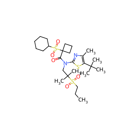 CCCS(=O)(=O)C(C)(C)CN(C(=O)C1(S(=O)(=O)C2CCCCC2)CCC1)c1nc(C)c(C(C)(C)C)s1